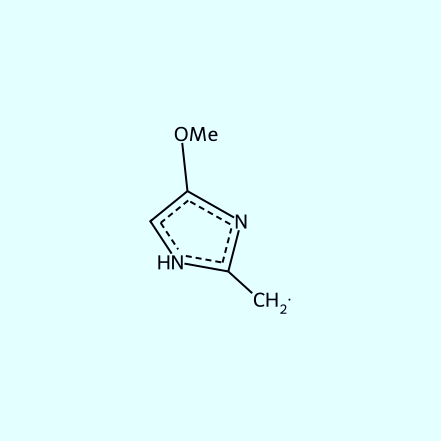 [CH2]c1nc(OC)c[nH]1